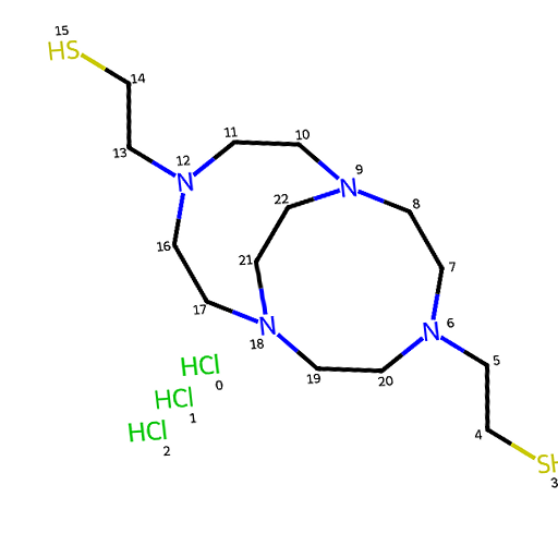 Cl.Cl.Cl.SCCN1CCN2CCN(CCS)CCN(CC1)CC2